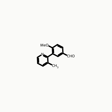 COc1ccc(C=O)cc1-c1ncccc1C